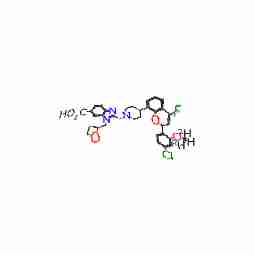 [2H]C([2H])([2H])Oc1cc(Cl)ccc1C1C=C(F)c2cccc(C3CCN(Cc4nc5ccc(C(=O)O)cc5n4C[C@@H]4CCO4)CC3)c2O1